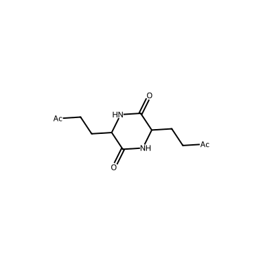 CC(=O)CCC1NC(=O)C(CCC(C)=O)NC1=O